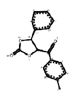 Cc1ccc(C(=O)C2OC(=O)OC2c2ccccc2)cc1